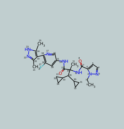 CCn1nccc1C(=O)NC(C)(C(=O)Nc1cnc(-c2c(C)n[nH]c2C)c(F)c1)C(C1CC1)C1CC1